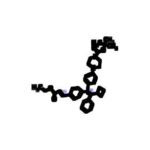 CCOC(=O)/C=C/c1ccc(/C(=C(\c2ccccc2)C2CCC2)c2ccc(N3CCN(C(=O)OC(C)(C)C)CC3)cc2)cc1